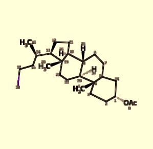 CC(=O)O[C@@H]1CC[C@@]2(C)C(CC[C@H]3[C@@H]4CC[C@H]([C@H](C)CCI)[C@@]4(C)CC[C@@H]32)C1